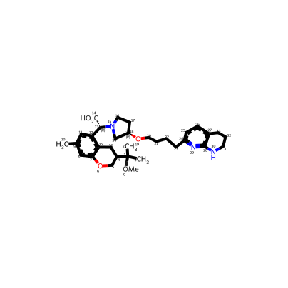 COC(C)(C)C1COc2cc(C)cc([C@H](C(=O)O)N3CC[C@@H](OCCCCc4ccc5c(n4)NCCC5)C3)c2C1